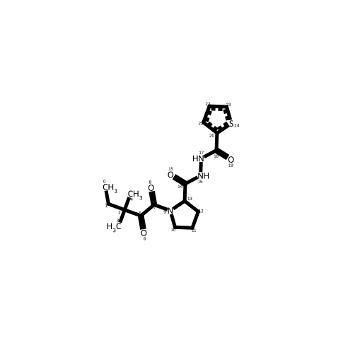 CCC(C)(C)C(=O)C(=O)N1CCCC1C(=O)NNC(=O)c1cccs1